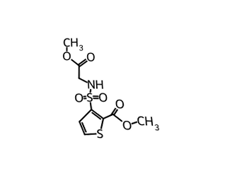 COC(=O)CNS(=O)(=O)c1ccsc1C(=O)OC